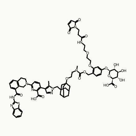 Cc1c(-c2ccc(N3CCc4cccc(C(=O)Nc5nc6ccccc6s5)c4C3)nc2C(=O)O)cnn1CC12CC3CC(C1)CC(OCCN(C)C(=O)OCc1ccc(O[C@@H]4O[C@H](C(=O)O)[C@@H](O)[C@H](O)[C@H]4O)cc1OCCOCCNC(=O)CCN1C(=O)C=CC1=O)(C3)C2